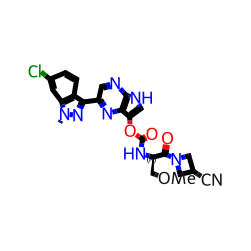 COC[C@@H](NC(=O)Oc1c[nH]c2ncc(-c3nn(C)c4cc(Cl)ccc34)nc12)C(=O)N1CC(C#N)C1